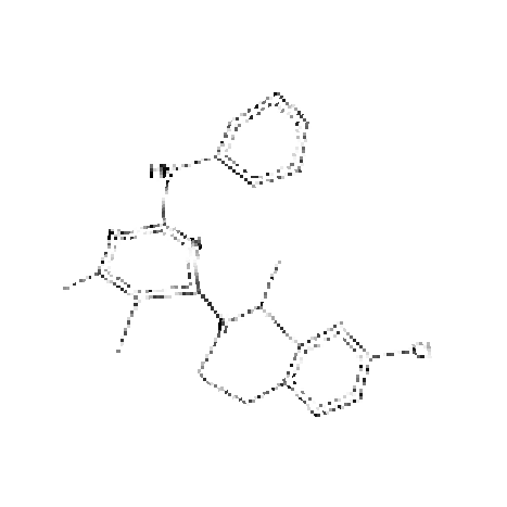 Cc1nc(Nc2ccccc2)nc(N2CCc3ccc(Cl)cc3C2C)c1C